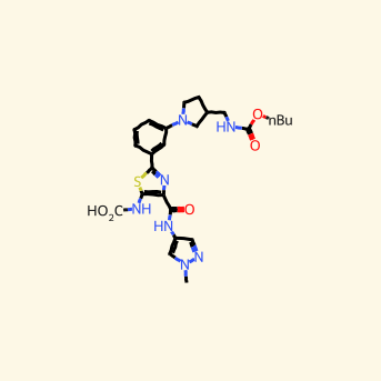 CCCCOC(=O)NCC1CCN(c2cccc(-c3nc(C(=O)Nc4cnn(C)c4)c(NC(=O)O)s3)c2)C1